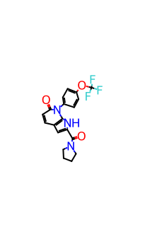 O=C(c1cc2ccc(=O)n(-c3ccc(OC(F)(F)F)cc3)c2[nH]1)N1CCCC1